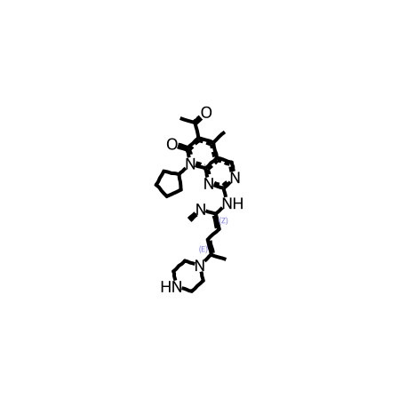 C=N/C(=C\C=C(/C)N1CCNCC1)Nc1ncc2c(C)c(C(C)=O)c(=O)n(C3CCCC3)c2n1